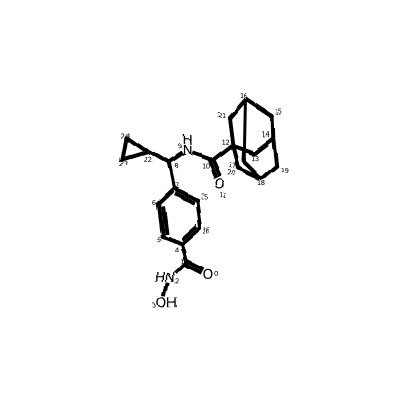 O=C(NO)c1ccc(C(NC(=O)C23CC4CC(CC(C4)C2)C3)C2CC2)cc1